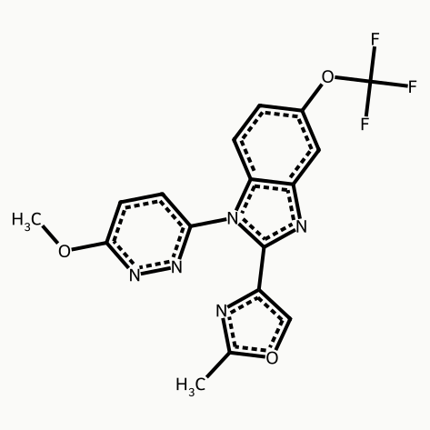 COc1ccc(-n2c(-c3coc(C)n3)nc3cc(OC(F)(F)F)ccc32)nn1